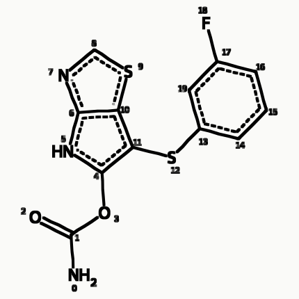 NC(=O)Oc1[nH]c2ncsc2c1Sc1cccc(F)c1